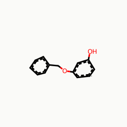 Oc1c[c]cc(OCc2ccccc2)c1